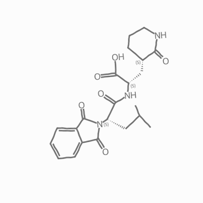 CC(C)C[C@@H](C(=O)N[C@@H](C[C@@H]1CCCNC1=O)C(=O)O)N1C(=O)c2ccccc2C1=O